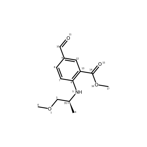 COC[C@H](C)Nc1ccc(C=O)cc1C(=O)OC